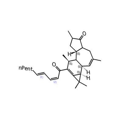 CCCCC/C=C/C=C\C(=O)C1=C2[C@@H]([C@@H]3C=C(C)CC4C(=O)C(C)C[C@H]4C3[C@@H]1C)C2(C)C